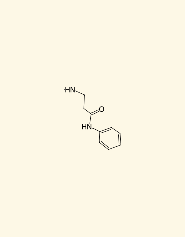 [NH]CCC(=O)Nc1ccccc1